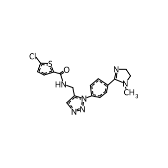 CN1CCN=C1c1ccc(-n2nncc2CNC(=O)c2ccc(Cl)s2)cc1